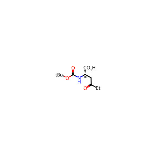 CCC(=O)C[C@@H](NC(=O)OC(C)(C)C)C(=O)O